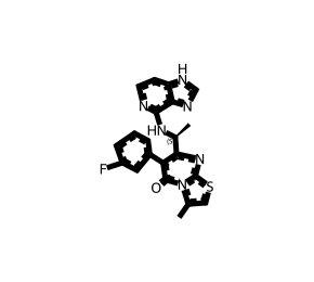 Cc1csc2nc([C@H](C)Nc3nccc4[nH]cnc34)c(-c3cccc(F)c3)c(=O)n12